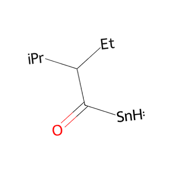 CCC([C](=O)[SnH])C(C)C